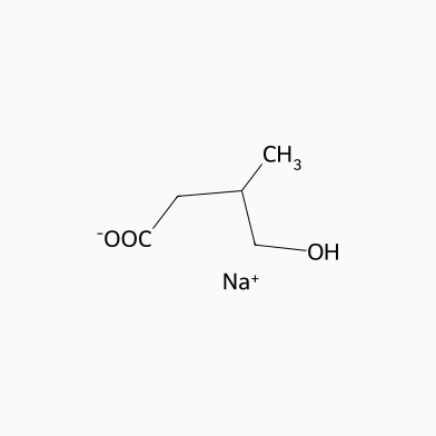 CC(CO)CC(=O)[O-].[Na+]